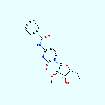 CC[C@H]1O[C@@H](n2ccc(NC(=O)c3ccccc3)nc2=O)[C@H](OC)[C@@H]1O